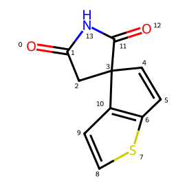 O=C1CC2(C=Cc3sccc32)C(=O)N1